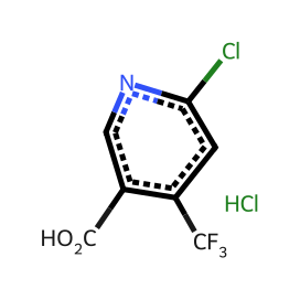 Cl.O=C(O)c1cnc(Cl)cc1C(F)(F)F